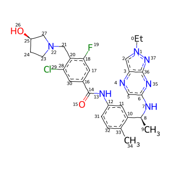 CCn1cc2ncc(N[C@@H](C)c3cc(NC(=O)c4cc(F)c(CN5CC[C@@H](O)C5)c(Cl)c4)ccc3C)nc2n1